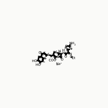 CCO/N=C(\C(=O)N[C@@H]1C(=O)N2C(C(=O)[O-])=C(CSc3cc(=O)c4cc(O)c(O)cc4s3)CS[C@H]12)c1nsc(N)n1.[Na+]